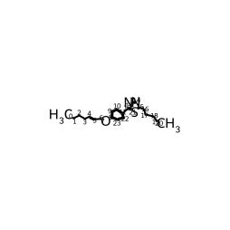 CCCCC=CCOc1ccc(-c2nnc(CCCCC)s2)cc1